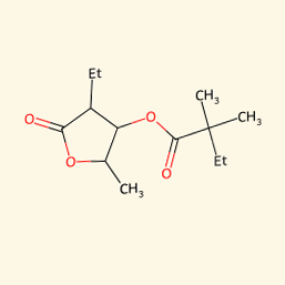 CCC1C(=O)OC(C)C1OC(=O)C(C)(C)CC